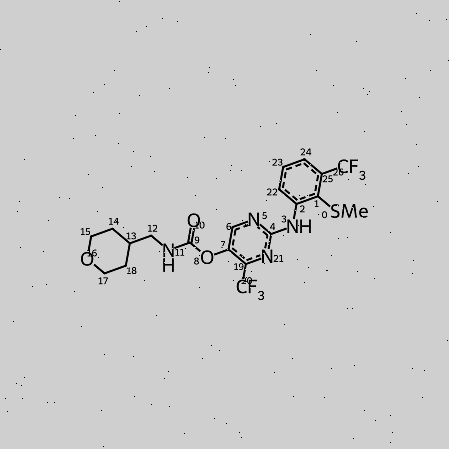 CSc1c(Nc2ncc(OC(=O)NCC3CCOCC3)c(C(F)(F)F)n2)cccc1C(F)(F)F